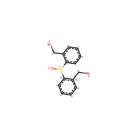 [O-][S+](c1ccccc1CBr)c1ccccc1CBr